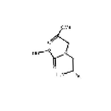 CC[C@H](N)CN(CC(=O)OC)C(=O)OC(C)(C)C